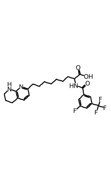 O=C(NC(CCCCCCCc1ccc2c(n1)NCCC2)C(=O)O)c1cc(F)cc(C(F)(F)F)c1